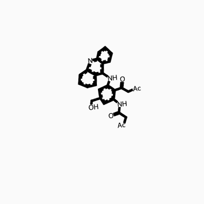 CC(=O)CC(=O)Nc1cc(CO)cc(Nc2c3ccccc3nc3ccccc23)c1C(=O)CC(C)=O